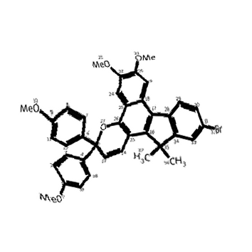 COc1ccc(C2(c3ccc(OC)cc3)C=Cc3c4c(c5cc(OC)c(OC)cc5c3O2)-c2ccc(Br)cc2C4(C)C)cc1